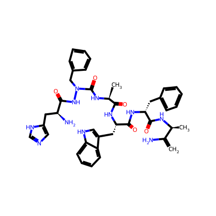 C=C(N)[C@H](C)NC(=O)[C@@H](Cc1ccccc1)NC(=O)[C@H](Cc1c[nH]c2ccccc12)NC(=O)[C@H](C)NC(=O)N(Cc1ccccc1)NC(=O)[C@@H](N)Cc1cnc[nH]1